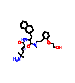 CN(CCc1ccccc1OCCO)C(=O)C(Cc1ccc2ccccc2c1)NC(=O)/C=C/CC(C)(C)N